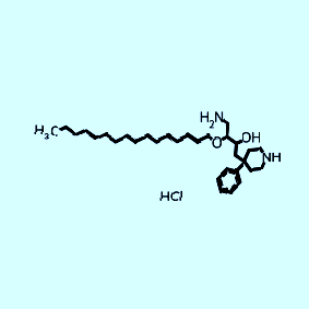 CCCCCCCCCCCCCCCCOC(CN)C(O)CC1(c2ccccc2)CCNCC1.Cl